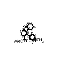 COC(C(=O)O)c1cnc2sc3c(c2c1-c1ccc(C)cc1)CCCC3